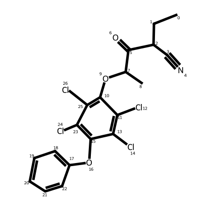 CCC(C#N)C(=O)C(C)Oc1c(Cl)c(Cl)c(Oc2ccccc2)c(Cl)c1Cl